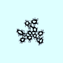 C1=Cc2nc(-c3ccccc3-c3cccc(-c4ccccc4-c4nc5ccccc5n4-c4ccccc4)c3-c3ccc(-c4nc5ccccc5n4-c4ccccc4)cc3)n(-c3ccccc3)c2CC1